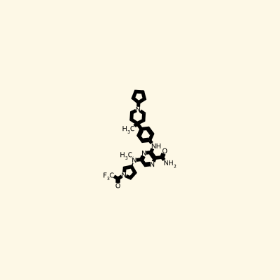 CN(c1cnc(C(N)=O)c(Nc2ccc(C3(C)CCN(C4CCCC4)CC3)cc2)n1)[C@@H]1CCN(C(=O)C(F)(F)F)C1